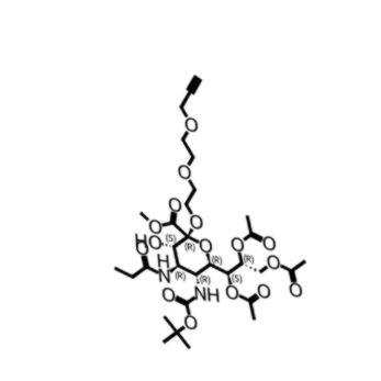 C#CCOCCOCCO[C@@]1(C(=O)OC)O[C@@H]([C@H](OC(C)=O)[C@@H](COC(C)=O)OC(C)=O)[C@H](NC(=O)OC(C)(C)C)[C@@H](NC(=O)CC)[C@@H]1O